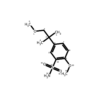 COCC(C)(C)c1ccc(OC)c(S(N)(=O)=O)c1